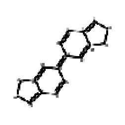 C1=c2ccc(=c3ccc4c(c3)CCC=4)cc2CC1